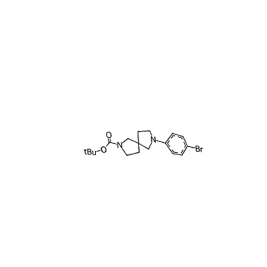 CC(C)(C)OC(=O)N1CCC2(CCN(c3ccc(Br)cc3)C2)C1